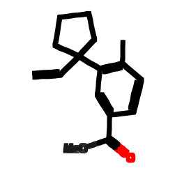 C=CC1(c2cc(C(=O)OC)ccc2C)CCCC1